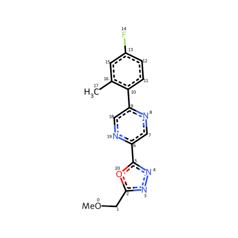 COCc1nnc(-c2cnc(-c3ccc(F)cc3C)cn2)o1